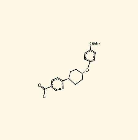 COc1ccc(O[C@H]2CC[C@H](c3ccc(C(=O)Cl)cc3)CC2)cc1